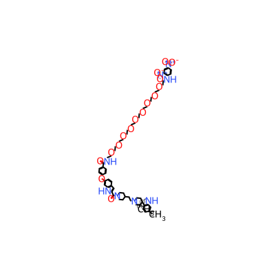 Cc1ccc2c(c1)NC[C@]21CCN(CCC2CCN(C(=O)c3cc4ccc(Oc5ccc(C(=O)NCCOCCOCCOCCOCCOCCOCCOCCOCCOCCNc6ccc([N+](=O)[O-])cc6[N+](=O)[O-])cc5)cc4[nH]3)CC2)C[C@H]1C